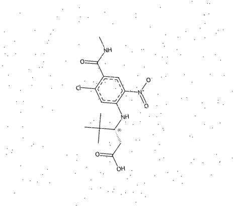 CNC(=O)c1cc([N+](=O)[O-])c(N[C@H](CC(=O)O)C(C)(C)C)cc1Cl